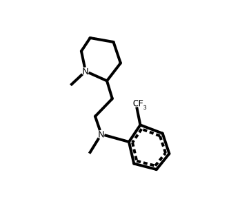 CN(CCC1CCCCN1C)c1ccccc1C(F)(F)F